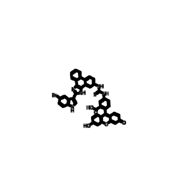 O=C(O)c1cc(NC(=S)Nc2ccc3c4ccccc4c4nc(-c5c[nH]c6ccc(Br)cc56)[nH]c4c3c2)ccc1-c1c2ccc(=O)cc-2oc2cc(O)ccc12